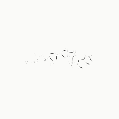 COC[C@@H](NC(=O)c1ccc(-c2cnc3ncc(C4(c5ccc6ncccc6c5)CC4)n3c2)cc1F)C(C)C